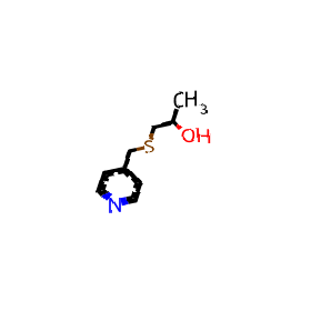 CC(O)CSCc1ccncc1